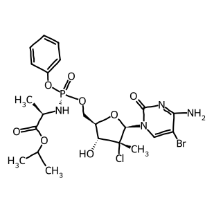 CC(C)OC(=O)[C@@H](C)N[P@](=O)(OC[C@H]1O[C@@H](n2cc(Br)c(N)nc2=O)[C@](C)(Cl)[C@@H]1O)Oc1ccccc1